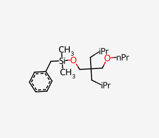 CCCOCC(CO[Si](C)(C)Cc1ccccc1)(CC(C)C)CC(C)C